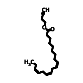 C#CCCOC(=O)CCCCCCC/C=C\C/C=C\C/C=C\CC